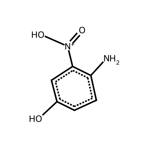 Nc1ccc(O)cc1[N+](=O)O